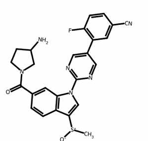 C[S+]([O-])c1cn(-c2ncc(-c3cc(C#N)ccc3F)cn2)c2cc(C(=O)N3CCC(N)C3)ccc12